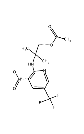 CC(=O)OCC(C)(C)Nc1ncc(C(F)(F)F)cc1[N+](=O)[O-]